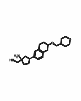 N[C@]1(CO)CC[C@H](c2ccc3c(c2)CCC(OCC2CCOCC2)C3)C1